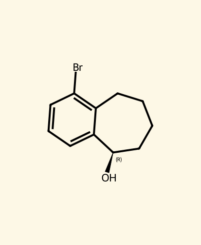 O[C@@H]1CCCCc2c(Br)cccc21